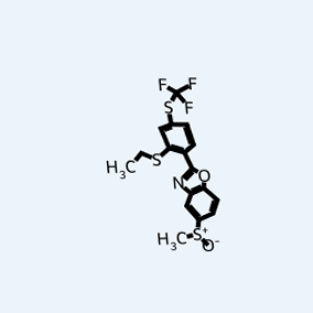 CCSc1cc(SC(F)(F)F)ccc1-c1nc2cc([S+](C)[O-])ccc2o1